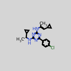 CC(=CC1CC1)Nc1nc(N[C@H](C)C2CC2)nc(-c2ccc(Cl)cc2)n1